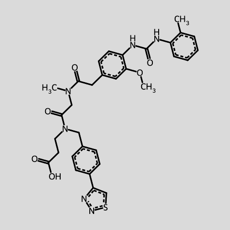 COc1cc(CC(=O)N(C)CC(=O)N(CCC(=O)O)Cc2ccc(-c3csnn3)cc2)ccc1NC(=O)Nc1ccccc1C